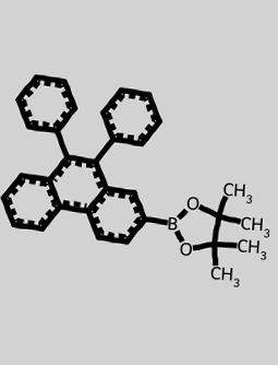 CC1(C)OB(c2ccc3c(c2)c(-c2ccccc2)c(-c2ccccc2)c2ccccc23)OC1(C)C